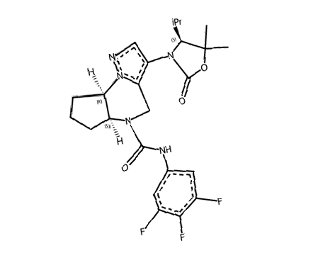 CC(C)[C@@H]1N(c2cnn3c2CN(C(=O)Nc2cc(F)c(F)c(F)c2)[C@H]2CCC[C@H]23)C(=O)OC1(C)C